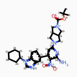 CC(C)(C)OC(=O)N1CC2CN(c3cc(-c4ccc5c(c4)ncn5C4CCCCC4)c([N+](=O)[O-])c(N)n3)CC2C1